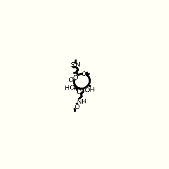 CCOCNCCCCC1C(=O)C(C)(C)[C@@H](O)CC(=O)OC(/C(C)=C/c2csc(C)n2)COC(C)(C)CCCC(C)C1O